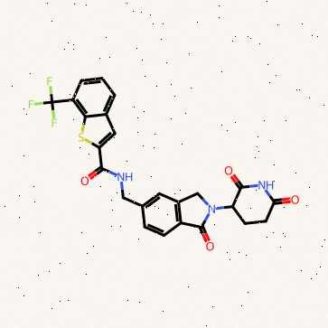 O=C1CCC(N2Cc3cc(CNC(=O)c4cc5cccc(C(F)(F)F)c5s4)ccc3C2=O)C(=O)N1